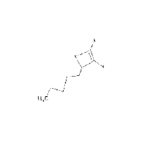 CCCCCC1CC(I)=C1I